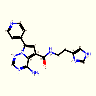 Nc1ncnn2c(-c3ccncc3)cc(C(=O)NCCc3c[nH]cn3)c12